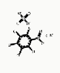 O=S(=O)([O-])[O-].O=[N+]([O-])c1c(Cl)c(Cl)c(Cl)c(Cl)c1Cl.[K+].[K+]